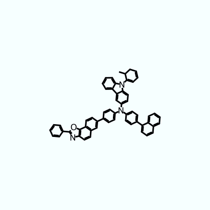 CC1CC=CC=C1n1c2ccccc2c2cc(N(c3ccc(-c4ccc5c(ccc6nc(-c7ccccc7)oc65)c4)cc3)c3ccc(-c4cccc5ccccc45)cc3)ccc21